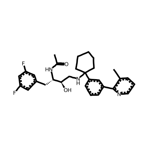 CC(=O)N[C@@H](Cc1cc(F)cc(F)c1)[C@H](O)CNC1(c2cccc(-c3ncccc3C)c2)CCCCC1